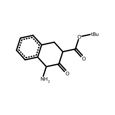 CC(C)(C)OC(=O)C1Cc2ccccc2C(N)C1=O